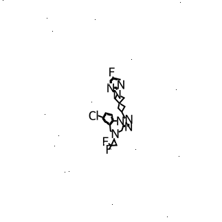 Fc1cnc(N2CC3(CC(c4nnc5n4-c4ccc(Cl)cc4CN(C4CC4(F)F)C5)C3)C2)nc1